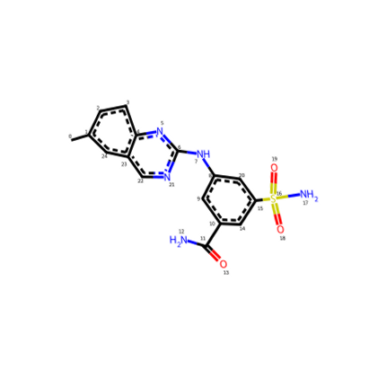 Cc1ccc2nc(Nc3cc(C(N)=O)cc(S(N)(=O)=O)c3)ncc2c1